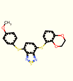 COc1ccc(Sc2ccc(Sc3cccc4c3OCCO4)c3nsnc23)cc1